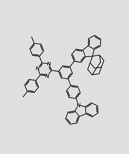 Cc1ccc(-c2nc(-c3ccc(C)cc3)nc(-c3cc(-c4ccc(-n5c6ccccc6c6ccccc65)cc4)cc(-c4ccc5c(c4)C4(c6ccccc6-5)C5CC6CC(C5)CC4C6)c3)n2)cc1